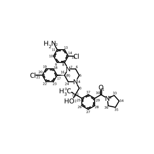 C[C@@](O)(CN1CCN(c2ccc(N)cc2Cl)[C@H](c2ccc(Cl)cc2)C1)c1cccc(C(=O)N2CCCC2)c1